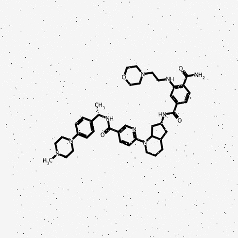 C[C@H](NC(=O)c1ccc(N2CCCC3CC(NC(=O)c4ccc(C(N)=O)c(NCCN5CCOCC5)c4)CC32)nc1)c1ccc(N2CCN(C)CC2)cc1